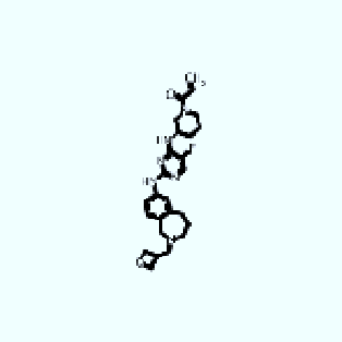 C=CC(=O)N1CCC[C@@H](Nc2nc(Nc3ccc4c(c3)CCCN(CC3COC3)C4)ncc2F)C1